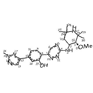 CO[C@H]1C(Nc2ncc(-c3ccc(-c4cnn(C)n4)cc3O)nn2)CC(C)(C)NC1(C)C